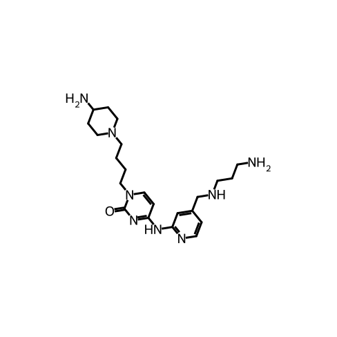 NCCCNCc1ccnc(Nc2ccn(CCCCN3CCC(N)CC3)c(=O)n2)c1